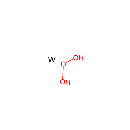 OOO.[W]